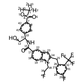 [2H]C([2H])([2H])S(=O)(=O)c1ccc(C(CO)NC(=O)c2ccc3c(c2)cc(Cc2ccc(F)cc2C(F)(F)F)n3CCF)cc1